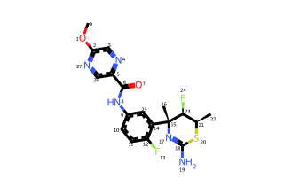 COc1cnc(C(=O)Nc2ccc(F)c([C@@]3(C)N=C(N)S[C@H](C)[C@@H]3F)c2)cn1